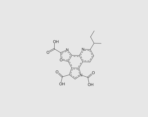 CCC(C)c1ccc2c(n1)c1nc(C(=O)O)oc1c1c(C(=O)O)cn(C(=O)O)c21